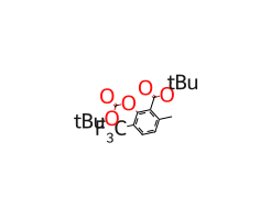 Cc1ccc(C(F)(F)F)c(OC(=O)OC(C)(C)C)c1C(=O)OC(C)(C)C